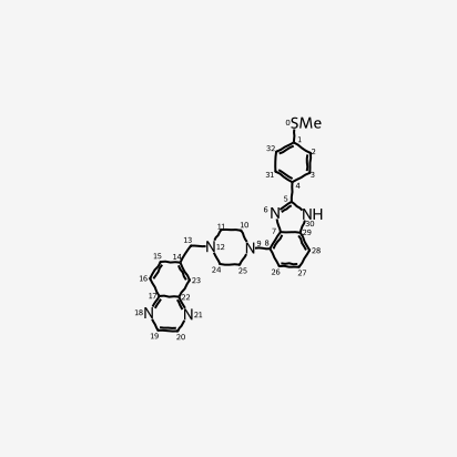 CSc1ccc(-c2nc3c(N4CCN(Cc5ccc6nccnc6c5)CC4)cccc3[nH]2)cc1